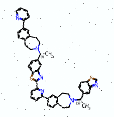 C[C@H](c1ccc2sc(-c3cccc(-c4ccc5c(c4)CCN([C@@H](C)c4ccc6scnc6c4)CC5)n3)nc2c1)N1CCc2ccc(-c3ccccn3)cc2CC1